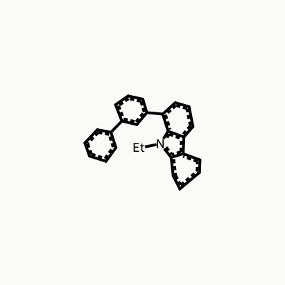 CCn1c2ccccc2c2cccc(-c3cccc(-c4ccccc4)c3)c21